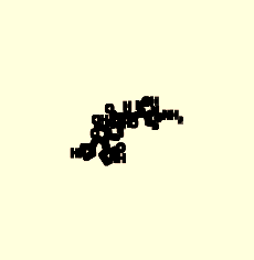 Nc1nc(C(=NO)C(=O)N[C@@H]2C(=O)N3C(C(=O)O)=C(C(CC4CCNC4)=C4CCNC4=O)CS[C@H]23)cs1